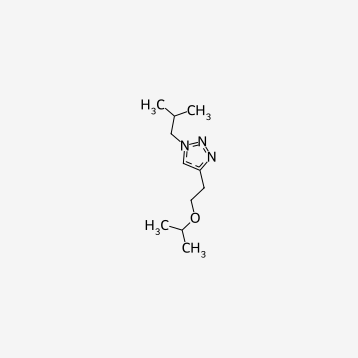 CC(C)Cn1cc(CCOC(C)C)nn1